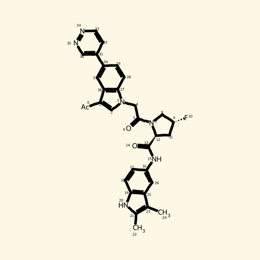 CC(=O)c1cn(CC(=O)N2C[C@H](F)C[C@H]2C(=O)Nc2ccc3[nH]c(C)c(C)c3c2)c2ccc(-c3ccnnc3)cc12